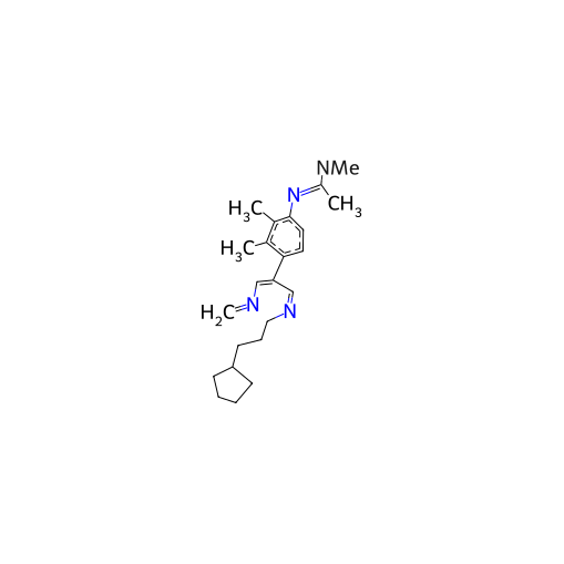 C=N/C=C(\C=N/CCCC1CCCC1)c1ccc(/N=C(\C)NC)c(C)c1C